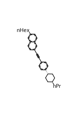 CCCCCCc1ccc2cc(C#Cc3ccc([C@H]4CC[C@H](CCC)CC4)cc3)ccc2c1